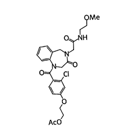 COCCNC(=O)CN1Cc2ccccc2N(C(=O)c2ccc(OCCOC(C)=O)cc2Cl)CC1=O